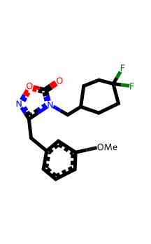 COc1cccc(Cc2noc(=O)n2CC2CCC(F)(F)CC2)c1